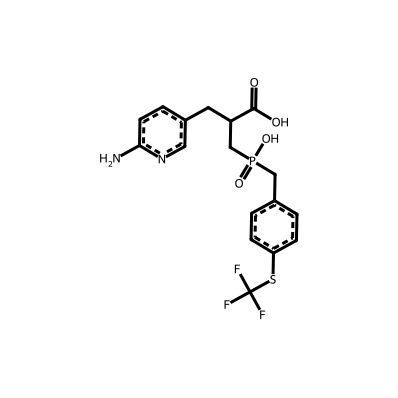 Nc1ccc(CC(CP(=O)(O)Cc2ccc(SC(F)(F)F)cc2)C(=O)O)cn1